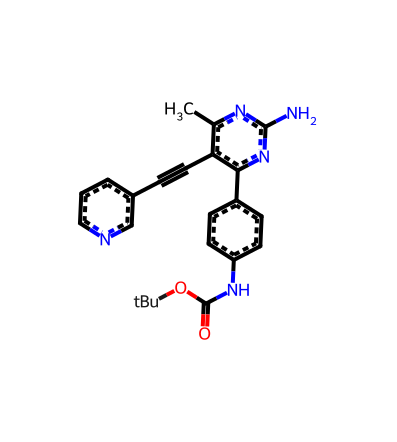 Cc1nc(N)nc(-c2ccc(NC(=O)OC(C)(C)C)cc2)c1C#Cc1cccnc1